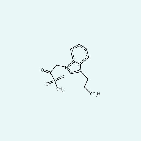 CS(=O)(=O)C(=O)Cn1cc(CCC(=O)O)c2ccccc21